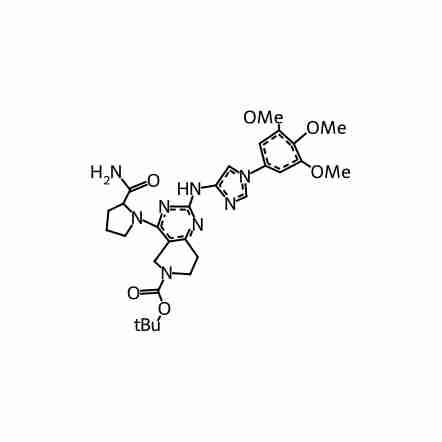 COc1cc(-n2cnc(Nc3nc4c(c(N5CCCC5C(N)=O)n3)CN(C(=O)OC(C)(C)C)CC4)c2)cc(OC)c1OC